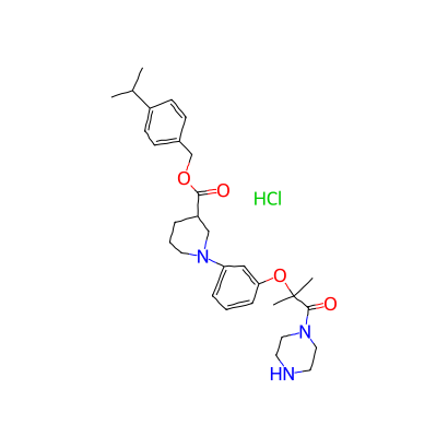 CC(C)c1ccc(COC(=O)C2CCCN(c3cccc(OC(C)(C)C(=O)N4CCNCC4)c3)C2)cc1.Cl